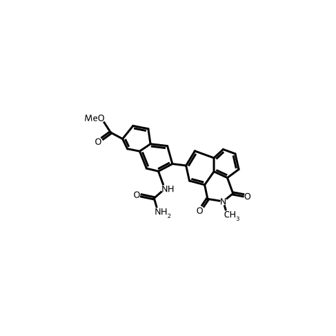 COC(=O)c1ccc2cc(-c3cc4c5c(cccc5c3)C(=O)N(C)C4=O)c(NC(N)=O)cc2c1